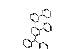 c1ccc(-c2cccc(-c3ccc(N(c4ccccc4)c4ccccc4)cc3-c3ccccc3)c2)cc1